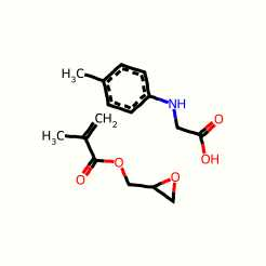 C=C(C)C(=O)OCC1CO1.Cc1ccc(NCC(=O)O)cc1